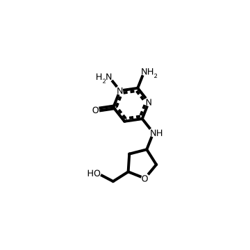 Nc1nc(NC2COC(CO)C2)cc(=O)n1N